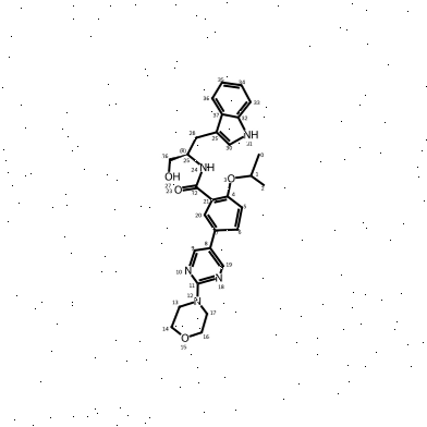 CC(C)Oc1ccc(-c2cnc(N3CCOCC3)nc2)cc1C(=O)N[C@@H](CO)Cc1c[nH]c2ccccc12